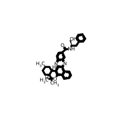 C[C@H]1CC[C@H]2[C@H](C1)c1c(c3ccccc3c3nc4cc(C(=O)N[C@@H](CO)Cc5ccccc5)ccc4nc13)OC2(C)C